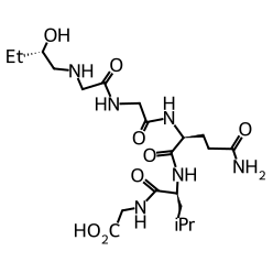 CC[C@H](O)CNCC(=O)NCC(=O)N[C@@H](CCC(N)=O)C(=O)N[C@@H](CC(C)C)C(=O)NCC(=O)O